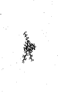 CCCCCCCn1cc(C(C)(CCCCCCC)CCCCCCC)c2c(N)ncnc21